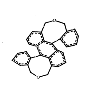 c1ccc2c(c1)COCc1cccc3c4c5c(cccc5c-2c13)COCc1ccccc1-4